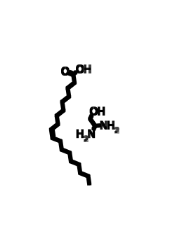 CCCCCCCC/C=C\CCCCCCCC(=O)O.NC(N)CO